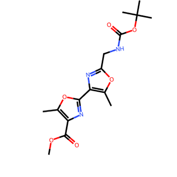 COC(=O)c1nc(-c2nc(CNC(=O)OC(C)(C)C)oc2C)oc1C